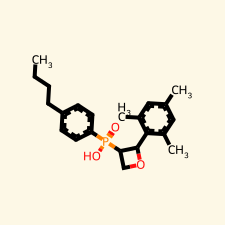 CCCCc1ccc(P(=O)(O)C2COC2c2c(C)cc(C)cc2C)cc1